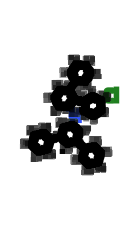 Clc1ccc2c(c1)c1c(-c3ccccc3)cccc1n2-c1cc(-c2ccccc2)cc(-c2ccccc2)c1